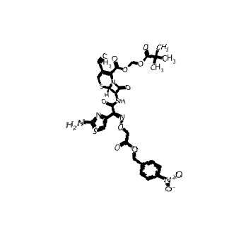 C=CC1=C(C(=O)OCOC(=O)C(C)(C)C)N2C(=O)C(NC(=O)C(=NOCC(=O)OCc3ccc([N+](=O)[O-])cc3)c3csc(N)n3)[C@@H]2SC1